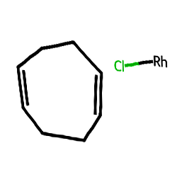 C1=CCCC=CCC1.[Cl][Rh]